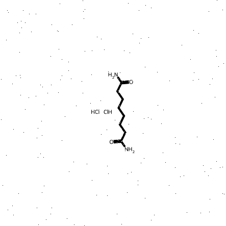 Cl.Cl.NC(=O)CCCCCCC(N)=O